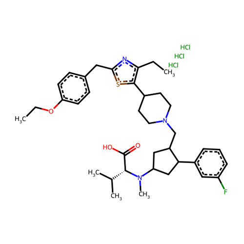 CCOc1ccc(Cc2nc(CC)c(C3CCN(CC4CC(N(C)[C@@H](C(=O)O)C(C)C)CC4c4cccc(F)c4)CC3)s2)cc1.Cl.Cl.Cl